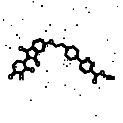 CC(C)(C)OC(=O)c1ccc(N2CCN(CCOc3ccc4c(c3)C(=O)N(C3CCC(=O)NC3=O)C4=O)CC2)nn1